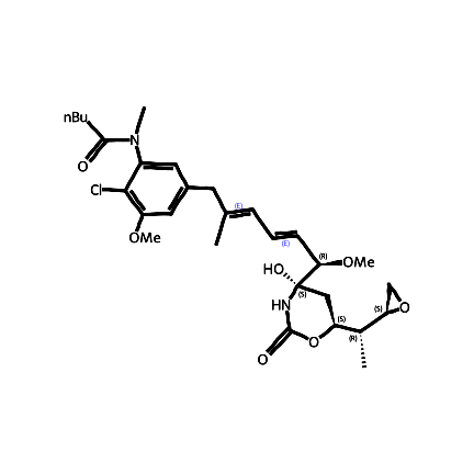 CCCCC(=O)N(C)c1cc(C/C(C)=C/C=C/[C@@H](OC)[C@@]2(O)C[C@@H]([C@@H](C)[C@H]3CO3)OC(=O)N2)cc(OC)c1Cl